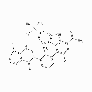 Cc1c(-c2c(Cl)cc(C(N)=O)c3[nH]c4cc(C(C)(C)O)ccc4c23)cccc1N1CNc2c(F)cccc2C1=O